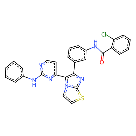 O=C(Nc1cccc(-c2nc3sccn3c2-c2ccnc(Nc3ccccc3)n2)c1)c1ccccc1Cl